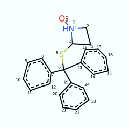 [O-][NH+]1CCC1SC(c1ccccc1)(c1ccccc1)c1ccccc1